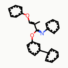 CC(=C\Oc1ccccc1)/C(=N\c1ccccc1)Oc1cccc(-c2ccccc2)c1